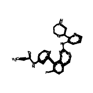 C=CC(=O)Nc1ccnc(-c2c(F)ccc3cnc(Nc4cccnc4C4CNCCO4)nc23)c1